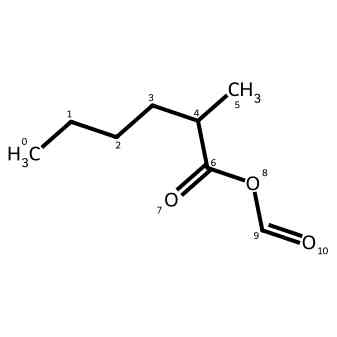 CCCCC(C)C(=O)OC=O